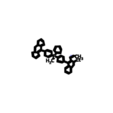 C=P(c1ccccc1)(c1ccc(-c2c(/C=C\C)c(CC)cc3ccccc23)cc1)c1ccc(-c2c3ccccc3cc3ccccc23)cc1